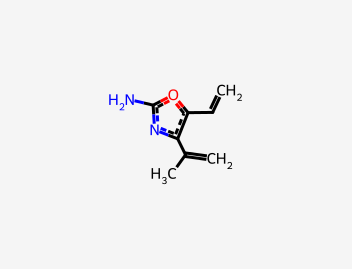 C=Cc1oc(N)nc1C(=C)C